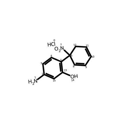 Cl.Nc1ccc(C2([N+](=O)[O-])C=CC=CC2)c(O)c1